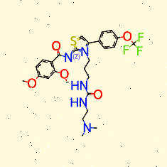 COc1ccc(C(=O)/N=c2\scc(-c3ccc(OC(F)(F)F)cc3)n2CCCNC(=O)NCCN(C)C)c(OC)c1